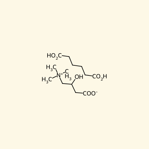 C[N+](C)(C)CC(O)CC(=O)[O-].O=C(O)CCCCC(=O)O